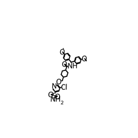 COc1ccc(C(NC(=O)C2CCC(COc3ncc(S(N)(=O)=O)cc3Cl)CC2)c2ccc(OC)cc2)cc1